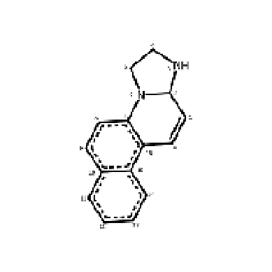 C1=CC2NCCN2c2ccc3ccccc3c21